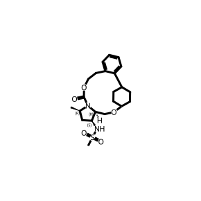 C[C@@H]1C[C@H](NS(C)(=O)=O)[C@@H]2COC3CCC(CC3)c3ccccc3CCOC(=O)N12